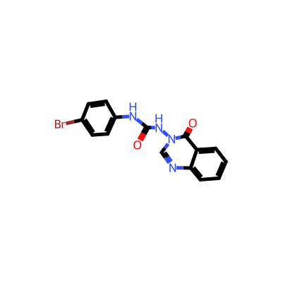 O=C(Nc1ccc(Br)cc1)Nn1cnc2ccccc2c1=O